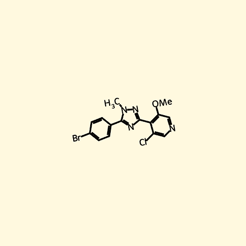 COc1cncc(Cl)c1-c1nc(-c2ccc(Br)cc2)n(C)n1